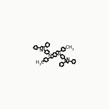 Cc1ccc(-c2cc3cc4c(cc(-c5ccc(C)cc5)n4-c4ccc(-n5nc(-c6ccccc6)cc5-c5ccccc5)cc4)cc3n2-c2ccc(-n3nc(-c4ccccc4)cc3-c3ccccc3)cc2)cc1